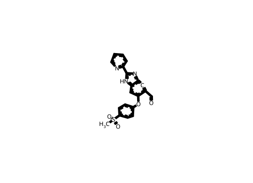 CS(=O)(=O)c1ccc(Oc2cc3[nH]c(-c4ccccn4)nc3cc2C=O)cc1